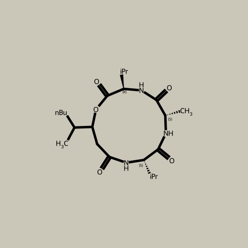 CCCCC(C)C1CC(=O)N[C@@H](C(C)C)C(=O)N[C@@H](C)C(=O)N[C@H](C(C)C)C(=O)O1